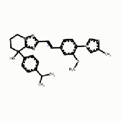 COc1cc(/C=C/c2nc3n(n2)CCCC3(O)c2ccc(C(C)C)cc2)ccc1-n1cnc(C)c1